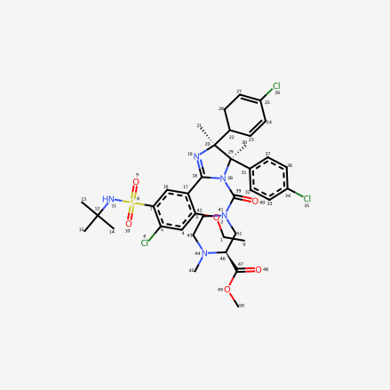 CCOc1cc(Cl)c(S(=O)(=O)NC(C)(C)C)cc1C1=N[C@@](C)(C2C=CC(Cl)=CC2)[C@@](C)(c2ccc(Cl)cc2)N1C(=O)N1CCN(C)[C@H](C(=O)OC)C1